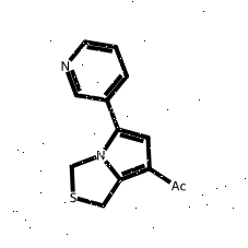 CC(=O)c1cc(-c2cccnc2)n2c1CSC2